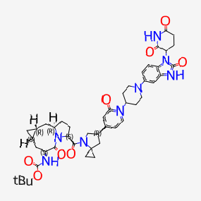 CC(C)(C)OC(=O)N[C@H]1C[C@@H]2C[C@@H]2C[C@H]2CC[C@@H](C(=O)N3C[C@@H](c4ccn(C5CCN(c6ccc7c(c6)[nH]c(=O)n7C6CCC(=O)NC6=O)CC5)c(=O)c4)CC34CC4)N2C1=O